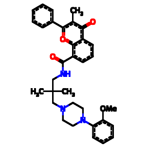 COc1ccccc1N1CCN(CC(C)(C)CNC(=O)c2cccc3c(=O)c(C)c(-c4ccccc4)oc23)CC1